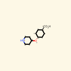 O=C(O)[C@H]1CC[C@H](OC2CCNCC2)CC1